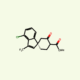 COC(=O)C1CC[C@@]2(C=C(C(F)(F)F)c3c(Cl)cccc32)CC1=O